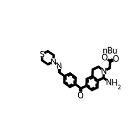 CCCCOC(=O)CN1CCc2cc(C(=O)c3ccc(C=NN4CCSCC4)cc3)ccc2C1N